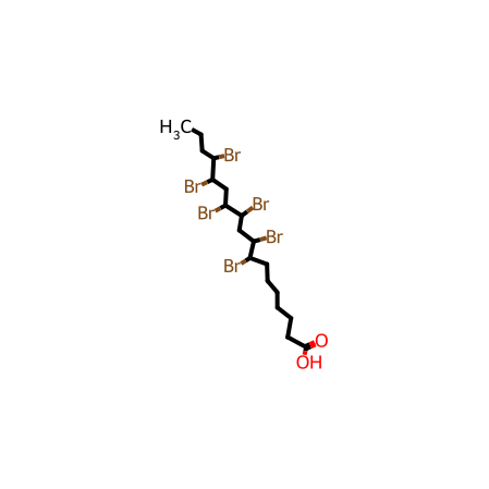 CCCC(Br)C(Br)CC(Br)C(Br)CC(Br)C(Br)CCCCCCC(=O)O